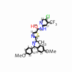 COc1ccc(C(/N=C(\C)c2ncc(C(O)Nc3cc(C(F)(F)F)c(Cl)cn3)s2)c2ccc(OC)cc2)cc1